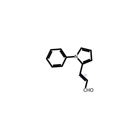 O=C/C=C/c1cccn1-c1ccccc1